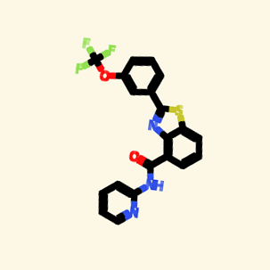 O=C(Nc1ccccn1)c1cccc2sc(-c3cccc(OC(F)(F)F)c3)nc12